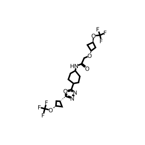 O=C(CO[C@H]1C[C@H](OC(F)(F)F)C1)NC1CCC(c2nnc([C@H]3C[C@@H](OC(F)(F)F)C3)o2)CC1